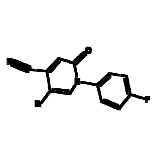 N#Cc1cc(=O)n(-c2ccc(F)cc2)cc1Br